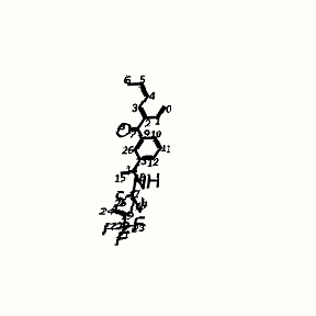 C=C/C(=C\C=C/C)C(=O)c1cccc(C(C)Nc2nc(C(F)(F)F)cs2)c1